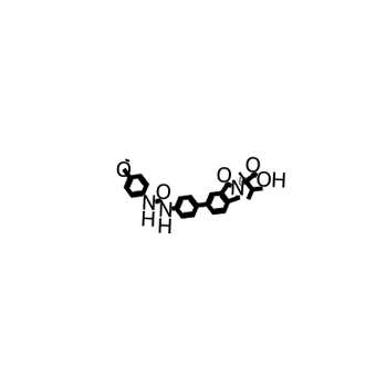 COc1ccc(NC(=O)Nc2ccc(-c3ccc4c(c3)C(=O)N([C@](C)(C(=O)O)C(C)C)C4)cc2)cc1